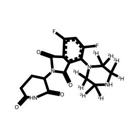 [2H]C1([2H])NC([2H])([2H])C([2H])([2H])N(c2c(F)cc(F)c3c2C(=O)N(C2CCC(=O)NC2=O)C3=O)C1([2H])[2H]